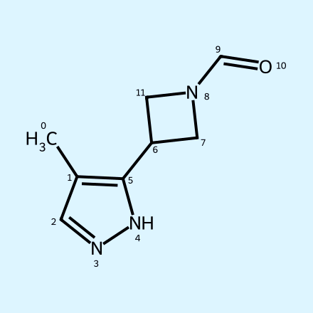 Cc1cn[nH]c1C1CN(C=O)C1